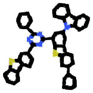 c1ccc(-c2ccc3c(c2)sc2c(-c4nc(-c5ccccc5)nc(-c5ccc6c(c5)sc5ccccc56)n4)cc(-n4c5ccccc5c5ccccc54)cc23)cc1